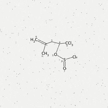 C=C(C)CC(OS(=O)Cl)C(Cl)(Cl)Cl